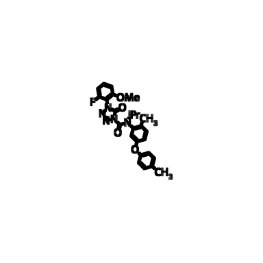 COc1cccc(F)c1-n1nnn(C(=O)N(c2cc(Oc3ccc(C)cc3)ccc2C)C(C)C)c1=O